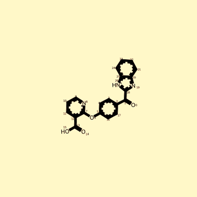 O=C(c1ccc(Oc2ncccc2C(=O)O)cc1)c1nc2ccccc2[nH]1